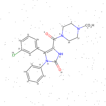 O=C(O)N1CCN(C(=O)c2[nH]c(=O)n(-c3ccccc3)c2-c2cccc(Cl)c2)CC1